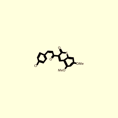 COc1cc(OC)c2cc(C(=O)/C=C\c3ccc(Cl)cc3)c(=O)sc2c1